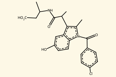 Cc1c(C(C)C(=O)NC(C)CC(=O)O)c2cc(O)ccc2n1C(=O)c1ccc(Cl)cc1